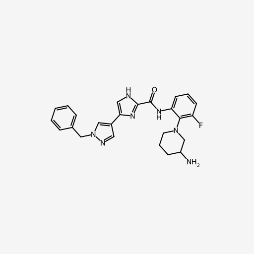 NC1CCCN(c2c(F)cccc2NC(=O)c2nc(-c3cnn(Cc4ccccc4)c3)c[nH]2)C1